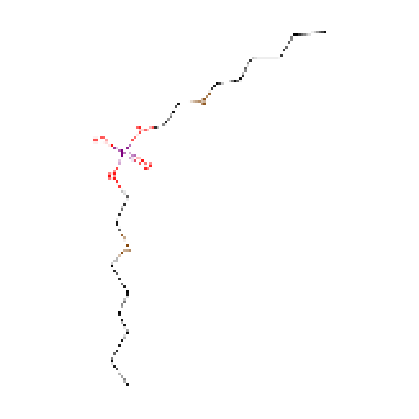 CCCCCCSCCOP(=O)(O)OCCSCCCCCC